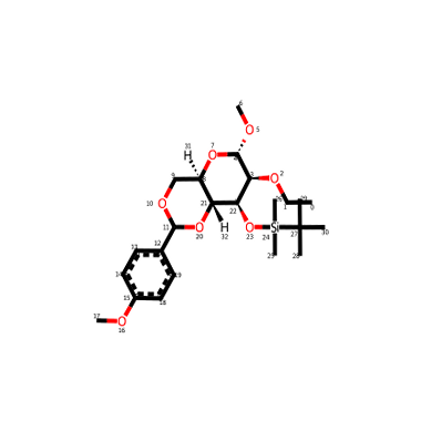 CCO[C@@H]1[C@@H](OC)O[C@@H]2COC(c3ccc(OC)cc3)O[C@H]2[C@@H]1O[Si](C)(C)C(C)(C)C